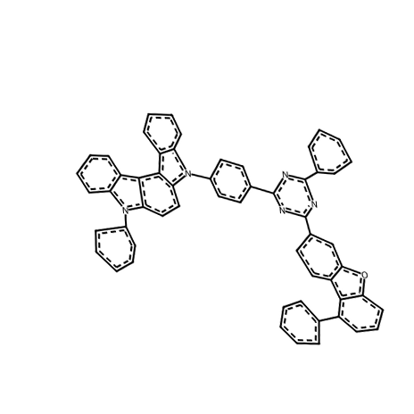 c1ccc(-c2nc(-c3ccc(-n4c5ccccc5c5c6c7ccccc7n(-c7ccccc7)c6ccc54)cc3)nc(-c3ccc4c(c3)oc3cccc(-c5ccccc5)c34)n2)cc1